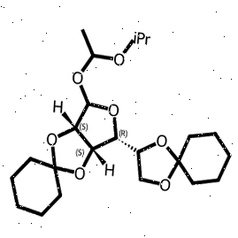 CC(C)OC(C)OC1O[C@H](C2COC3(CCCCC3)O2)[C@@H]2OC3(CCCCC3)O[C@H]12